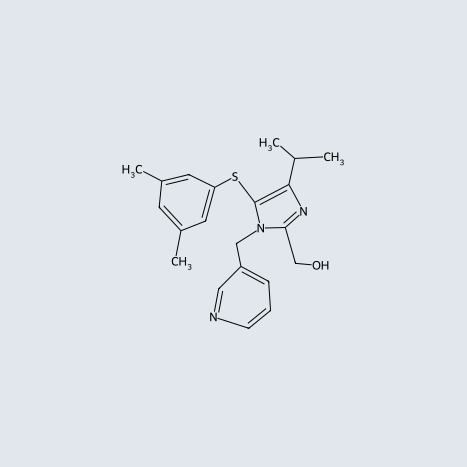 Cc1cc(C)cc(Sc2c(C(C)C)nc(CO)n2Cc2cccnc2)c1